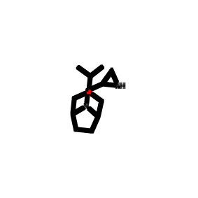 CC(C)N1CC2CCC(C1)N2CC1CN1